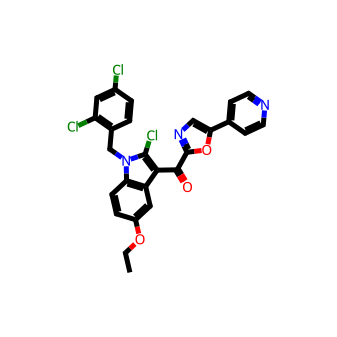 CCOc1ccc2c(c1)c(C(=O)c1ncc(-c3ccncc3)o1)c(Cl)n2Cc1ccc(Cl)cc1Cl